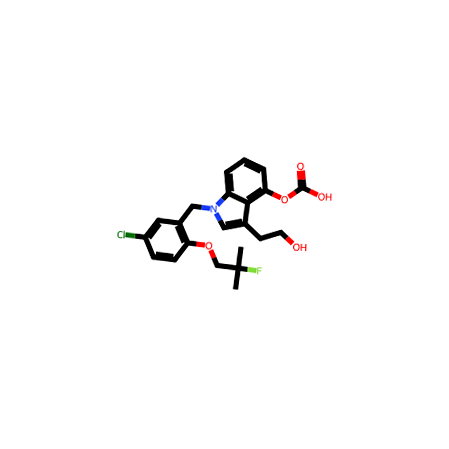 CC(C)(F)COc1ccc(Cl)cc1Cn1cc(CCO)c2c(OC(=O)O)cccc21